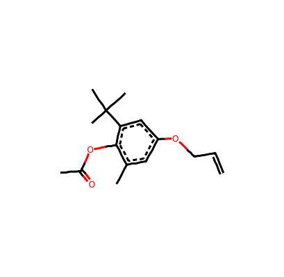 C=CCOc1cc(C)c(OC(C)=O)c(C(C)(C)C)c1